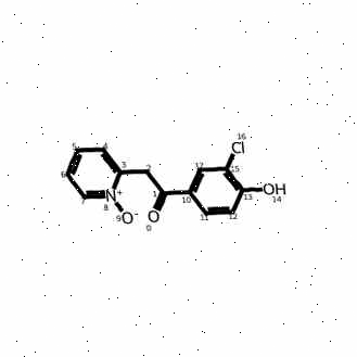 O=C(Cc1cccc[n+]1[O-])c1ccc(O)c(Cl)c1